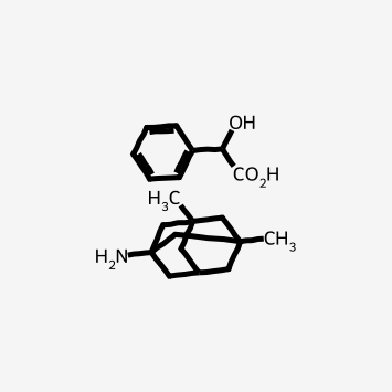 CC12CC3CC(C)(C1)CC(N)(C3)C2.O=C(O)C(O)c1ccccc1